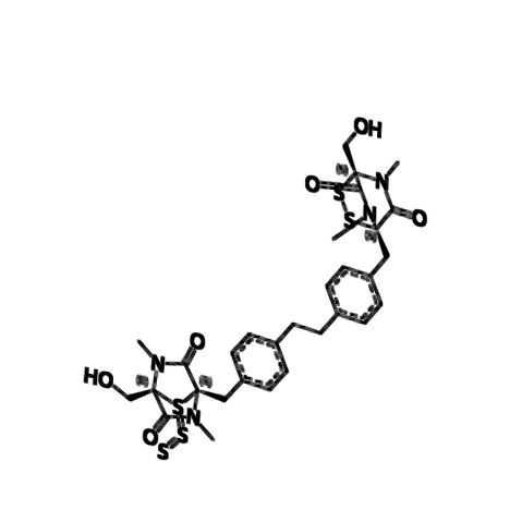 CN1C(=O)[C@]2(Cc3ccc(CCc4ccc(C[C@@]56C(=O)N(C)[C@@](CO)(C(=O)N5C)S6=S=S)cc4)cc3)SS[C@@]1(CO)C(=O)N2C